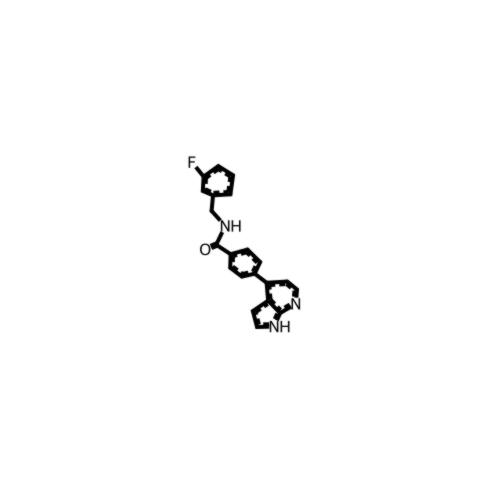 O=C(NCc1cccc(F)c1)c1ccc(-c2ccnc3[nH]ccc23)cc1